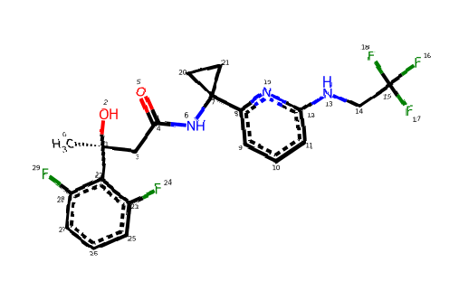 C[C@](O)(CC(=O)NC1(c2cccc(NCC(F)(F)F)n2)CC1)c1c(F)cccc1F